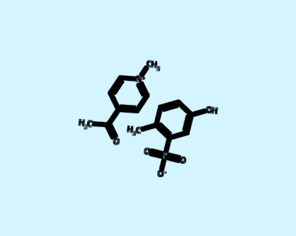 CC(=O)c1cc[n+](C)cc1.Cc1ccc(O)cc1S(=O)(=O)[O-]